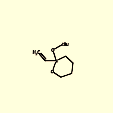 C=C[Si]1(OC(C)(C)C)CCCCO1